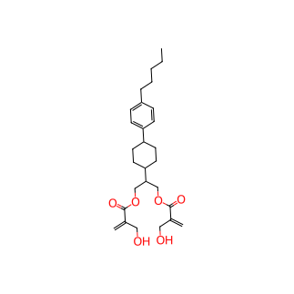 C=C(CO)C(=O)OCC(COC(=O)C(=C)CO)C1CCC(c2ccc(CCCCC)cc2)CC1